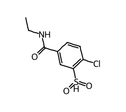 CCNC(=O)c1ccc(Cl)c([SH](=O)=O)c1